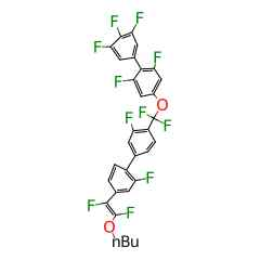 CCCCO/C(F)=C(\F)c1ccc(-c2ccc(C(F)(F)Oc3cc(F)c(-c4cc(F)c(F)c(F)c4)c(F)c3)c(F)c2)c(F)c1